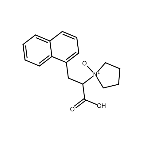 O=C(O)C(Cc1cccc2ccccc12)[N+]1([O-])CCCC1